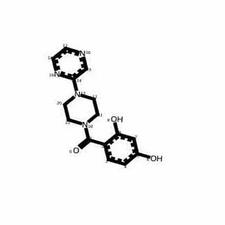 O=C(c1ccc(O)cc1O)N1CCN(c2cnccn2)CC1